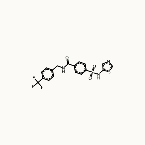 O=C(NCc1ccc(C(F)(F)F)cc1)c1ccc(S(=O)(=O)Nc2cncs2)cc1